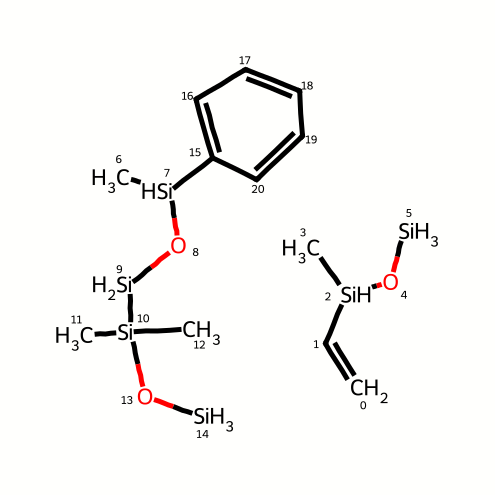 C=C[SiH](C)O[SiH3].C[SiH](O[SiH2][Si](C)(C)O[SiH3])c1ccccc1